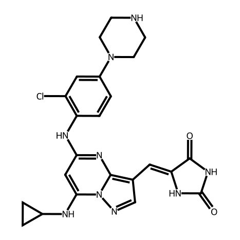 O=C1NC(=O)/C(=C/c2cnn3c(NC4CC4)cc(Nc4ccc(N5CCNCC5)cc4Cl)nc23)N1